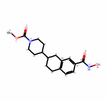 CC(C)(C)OC(=O)N1CCC(C2CCc3ccc(C(=O)NO)cc3C2)CC1